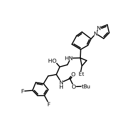 CCC1CC1(NCC(O)C(Cc1cc(F)cc(F)c1)NC(=O)OC(C)(C)C)c1cccc(-n2cccn2)c1